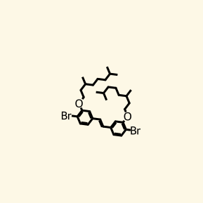 CC(C)CCCC(C)CCOc1cc(C=Cc2ccc(Br)c(OCCC(C)CCCC(C)C)c2)ccc1Br